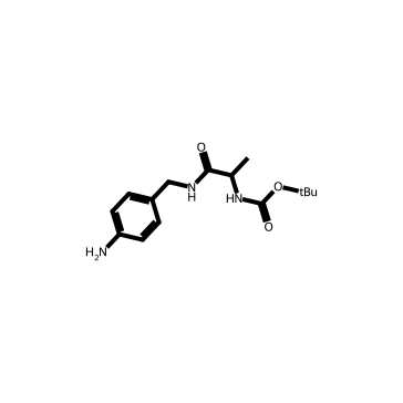 CC(NC(=O)OC(C)(C)C)C(=O)NCc1ccc(N)cc1